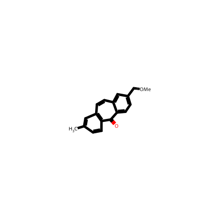 COCc1ccc2c(=O)c3ccc(C)cc3ccc2c1